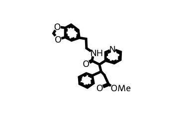 COC(=O)CC(c1ccccc1)C(C(=O)NCCc1ccc2c(c1)OCO2)c1cccnc1